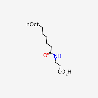 CCCCCCCCCCCCCC(=O)NCCC(=O)O